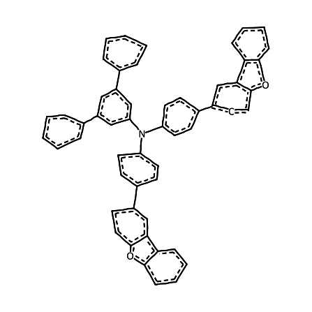 c1ccc(-c2cc(-c3ccccc3)cc(N(c3ccc(-c4ccc5oc6ccccc6c5c4)cc3)c3ccc(-c4ccc5oc6ccccc6c5c4)cc3)c2)cc1